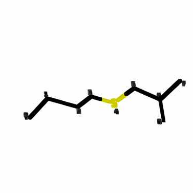 [CH2]CCCSCC(C)C